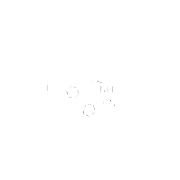 N#CC(CNC(=O)CCC(=O)O)c1cccc(Oc2cccc(C(F)(F)F)c2)c1